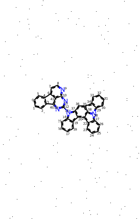 c1ccc2c(c1)-c1ccnc3nc(-n4c5ccccc5c5c6c7ccccc7n7c8ccccc8c(cc54)c67)nc-2c13